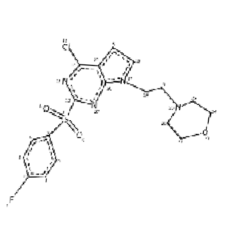 O=S(=O)(c1ccc(F)cc1)c1nc(Cl)c2ccn(CCN3CCOCC3)c2n1